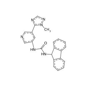 Cn1ncnc1-c1cncc(NC(=O)NC2c3ccccc3-c3ccccc32)c1